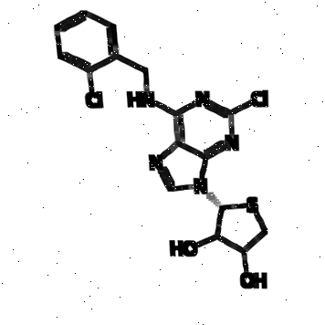 OC1CS[C@@H](n2cnc3c(NCc4ccccc4Cl)nc(Cl)nc32)C1O